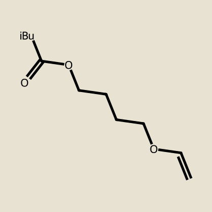 C=COCCCCOC(=O)C(C)CC